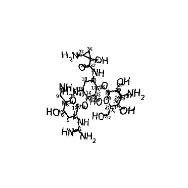 N=C(N)N[C@@H]1C[C@H](O)[C@@H](CN)O[C@@H]1O[C@H]1[C@H](O)[C@@H](O[C@H]2O[C@H](CO)[C@@H](O)[C@H](N)[C@H]2O)[C@H](NC(=O)C2(O)CC2N)C[C@@H]1N